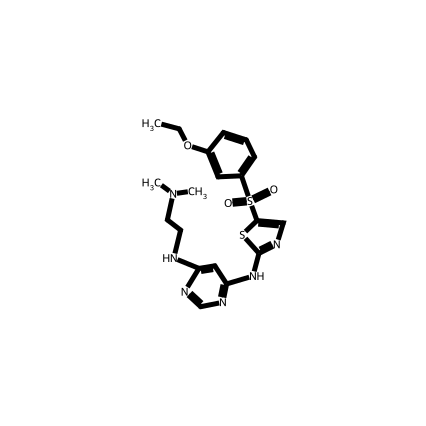 CCOc1cccc(S(=O)(=O)c2cnc(Nc3cc(NCCN(C)C)ncn3)s2)c1